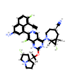 [2H]C([2H])(Oc1nc(N2CC[C@@H](C#N)C[C@@H]3[C@H](F)[C@@H]32)c2cnc(-c3cc(N)cc4ccc(F)c(C#C)c34)c(F)c2n1)[C@@]12CCCN1C[C@H](F)C2